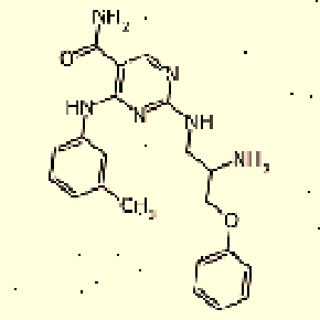 Cc1cccc(Nc2nc(NCC(N)COc3ccccc3)ncc2C(N)=O)c1